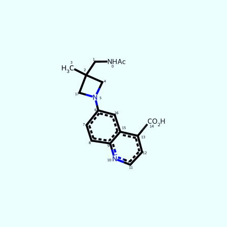 CC(=O)NCC1(C)CN(c2ccc3nccc(C(=O)O)c3c2)C1